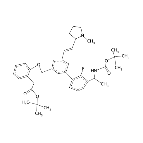 CC(NC(=O)OC(C)(C)C)c1cccc(-c2cc(C=CC3CCCN3C)cc(COc3ccccc3CC(=O)OC(C)(C)C)c2)c1F